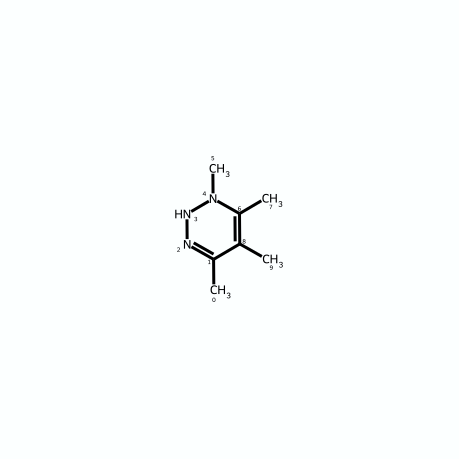 CC1=NNN(C)C(C)=C1C